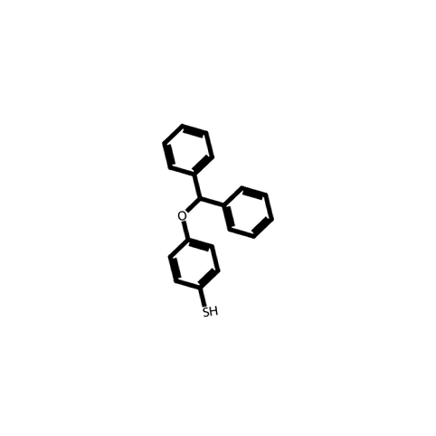 Sc1ccc(OC(c2ccccc2)c2ccccc2)cc1